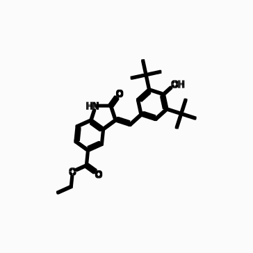 CCOC(=O)c1ccc2c(c1)C(=Cc1cc(C(C)(C)C)c(O)c(C(C)(C)C)c1)C(=O)N2